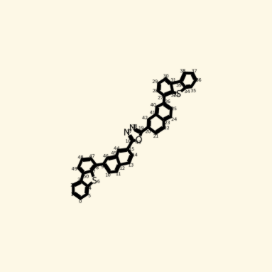 c1ccc2c(c1)sc1c(-c3ccc4ccc(-c5nnc(-c6ccc7ccc(-c8cccc9c8sc8ccccc89)cc7c6)o5)cc4c3)cccc12